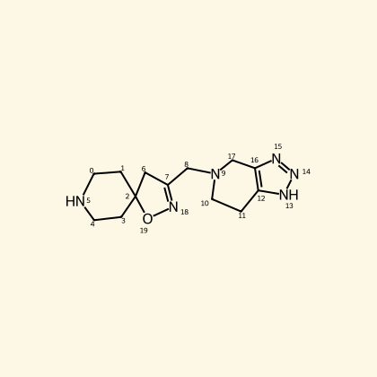 C1CC2(CCN1)CC(CN1CCc3[nH]nnc3C1)=NO2